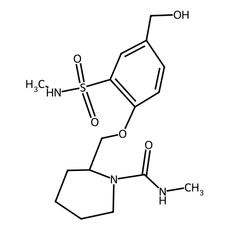 CNC(=O)N1CCCCC1COc1ccc(CO)cc1S(=O)(=O)NC